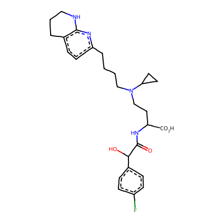 O=C(O)C(CCN(CCCCc1ccc2c(n1)NCCC2)C1CC1)NC(=O)C(O)c1ccc(F)cc1